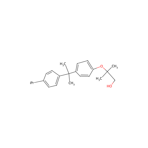 CC(C)c1ccc(C(C)(C)c2ccc(OC(C)(C)CO)cc2)cc1